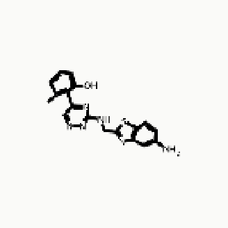 Cc1cccc(O)c1-c1cnnc(NCc2nc3cc(N)ccc3s2)n1